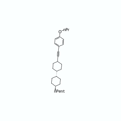 CCCCC[C@H]1CC[C@H](C2CCC(C#Cc3ccc(OCCC)cc3)CC2)CC1